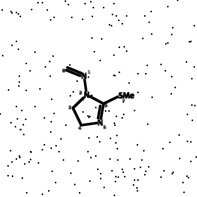 C=NN1CCN=C1SC